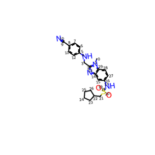 Cn1c(CNc2ccc(C#N)cc2)nc2cc(NS(=O)(=O)CC3CCCC3)ccc21